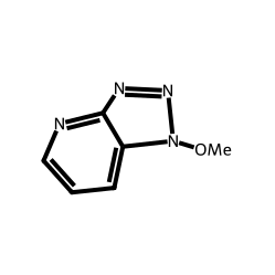 COn1nnc2ncccc21